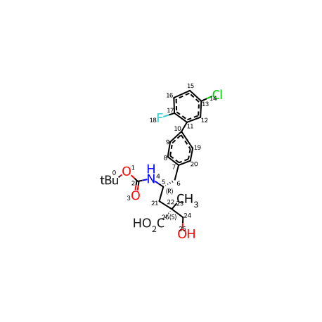 CC(C)(C)OC(=O)N[C@H](Cc1ccc(-c2cc(Cl)ccc2F)cc1)C[C@@](C)(CO)C(=O)O